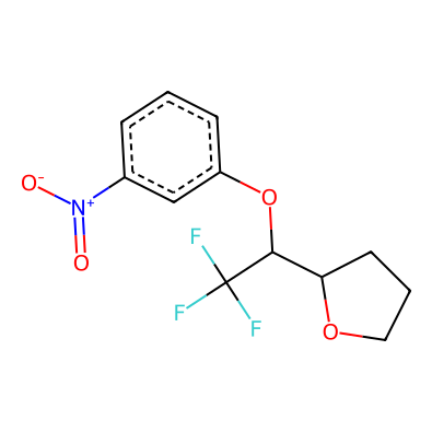 O=[N+]([O-])c1cccc(OC(C2CCCO2)C(F)(F)F)c1